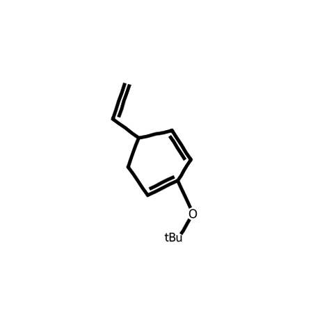 C=CC1C=CC(OC(C)(C)C)=CC1